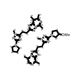 COC1CCN(c2nc(CCc3nc4c(C)ncc(C)n4n3)n(C)n2)C1.Cc1nc(C)n2nc(CCc3nc(N4CCCC4)nn3C)nc2c1C